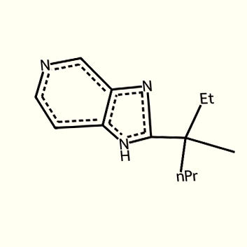 CCCC(C)(CC)c1nc2cnccc2[nH]1